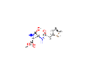 COC(=O)[C@H]1NC(=O)[C@H]1NC(=O)Cc1cccs1